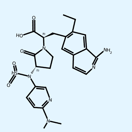 CCc1cc2c(N)nccc2cc1C[C@H](C(=O)O)N1CC[C@H](N(c2ccc(N(C)C)nc2)[SH](=O)=O)C1=O